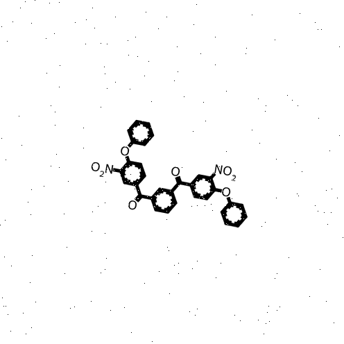 O=C(c1cccc(C(=O)c2ccc(Oc3ccccc3)c([N+](=O)[O-])c2)c1)c1ccc(Oc2ccccc2)c([N+](=O)[O-])c1